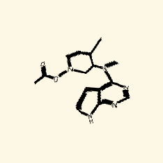 CC(=O)ON1CCC(C)C(N(C)c2ncnc3[nH]ccc23)C1